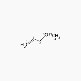 C=C[CH]O[13CH3]